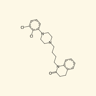 O=C1CCc2ccccc2N1CCCCN1CCN(c2cccc(Cl)c2Cl)CC1